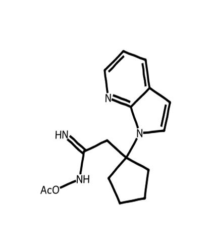 CC(=O)ONC(=N)CC1(n2ccc3cccnc32)CCCC1